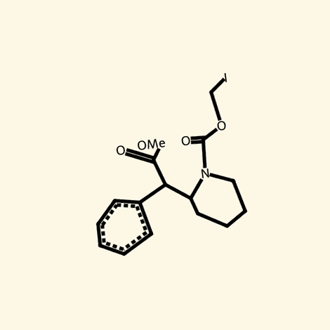 COC(=O)C(c1ccccc1)C1CCCCN1C(=O)OCI